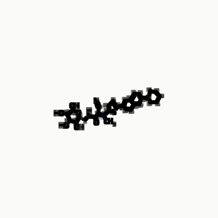 C/C(=C(/C#N)C(=O)NC[C@H]1OC(O)[C@H](O)[C@@H](O)[C@@H]1O)c1ccc(-c2ccc3cc(N4CCCCC4)ccc3c2)s1